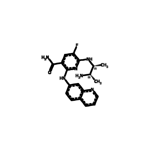 C[C@H](N)[C@@H](C)Nc1nc(Nc2ccc3cccnc3c2)c(C(N)=O)cc1F